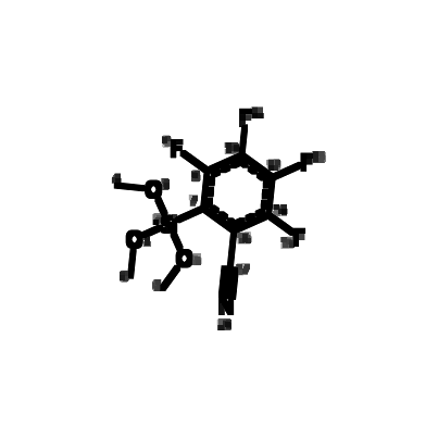 CO[Si](OC)(OC)c1c(F)c(F)c(F)c(F)c1C#N